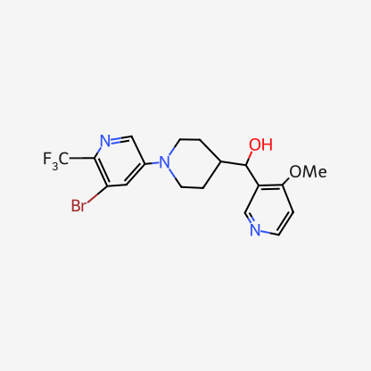 COc1ccncc1C(O)C1CCN(c2cnc(C(F)(F)F)c(Br)c2)CC1